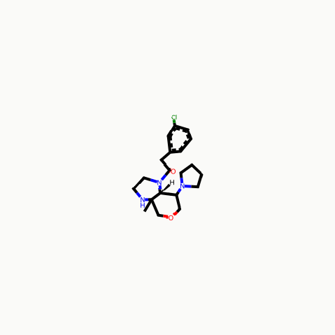 CC12COCC(N3CCCC3)[C@H]1N(C(=O)Cc1cccc(Cl)c1)CCN2